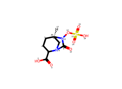 O=C(O)C1CC[C@@H]2CN1C(=O)N2OS(=O)(=O)O